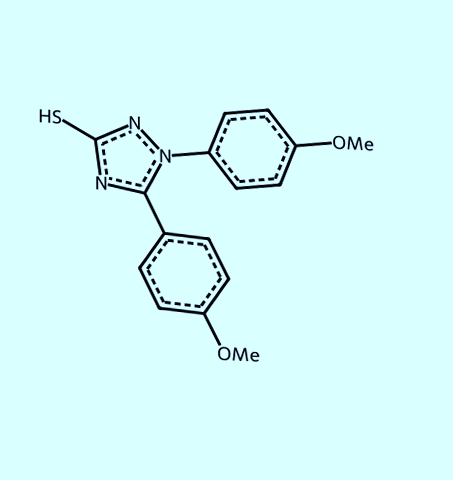 COc1ccc(-c2nc(S)nn2-c2ccc(OC)cc2)cc1